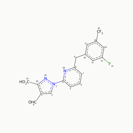 O=Cc1cn(-c2cccc(Cc3cc(F)cc(C(F)(F)F)c3)n2)nc1C(=O)O